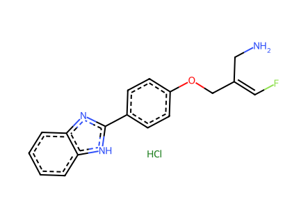 Cl.NC/C(=C\F)COc1ccc(-c2nc3ccccc3[nH]2)cc1